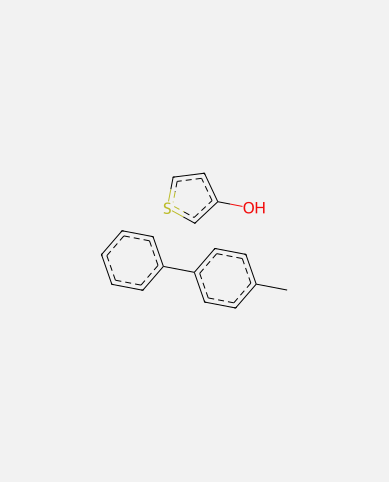 Cc1ccc(-c2ccccc2)cc1.Oc1ccsc1